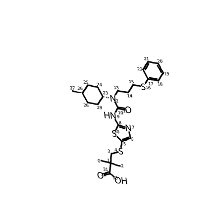 CC(C)(CSc1cnc(NC(=O)N(CCCSc2ccccc2)[C@H]2CC[C@H](C)CC2)s1)C(=O)O